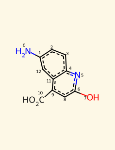 Nc1ccc2nc(O)cc(C(=O)O)c2c1